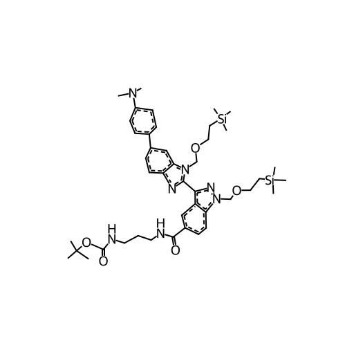 CN(C)c1ccc(-c2ccc3nc(-c4nn(COCC[Si](C)(C)C)c5ccc(C(=O)NCCCNC(=O)OC(C)(C)C)cc45)n(COCC[Si](C)(C)C)c3c2)cc1